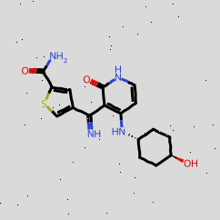 N=C(c1csc(C(N)=O)c1)c1c(N[C@H]2CC[C@H](O)CC2)cc[nH]c1=O